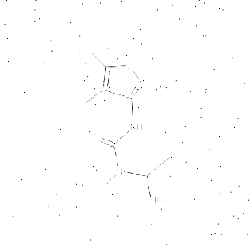 CCCCC(C)N(C)C(=O)Nc1noc(C(C)CC)c1C